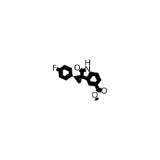 COC(=O)c1ccc2c(c1)[C@@]1(C[C@@H]1c1ccc(F)cc1)C(=O)N2